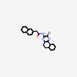 CCc1nc2c(nc1NC(=O)Cc1ccc3ccccc3c1)CCc1ccccc1-2